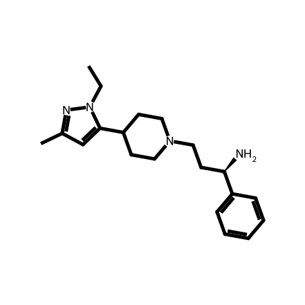 CCn1nc(C)cc1C1CCN(CC[C@@H](N)c2ccccc2)CC1